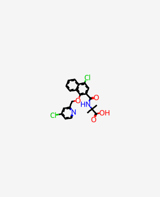 CC(C)(NC(=O)c1cc(Cl)c2ccccc2c1OCc1cc(Cl)ccn1)C(=O)O